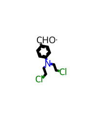 O=[C]c1ccc(N(CCCl)CCCl)cc1